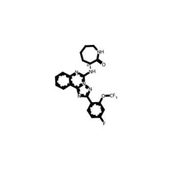 O=C1NCCCC[C@H]1Nc1nc2ccccc2c2nc(-c3ccc(F)cc3OC(F)(F)F)nn12